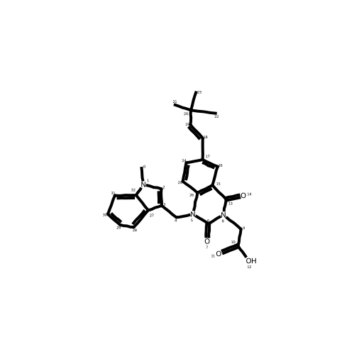 Cn1cc(Cn2c(=O)n(CC(=O)O)c(=O)c3cc(/C=C/C(C)(C)C)ccc32)c2ccccc21